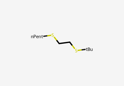 CCCCCSCCSC(C)(C)C